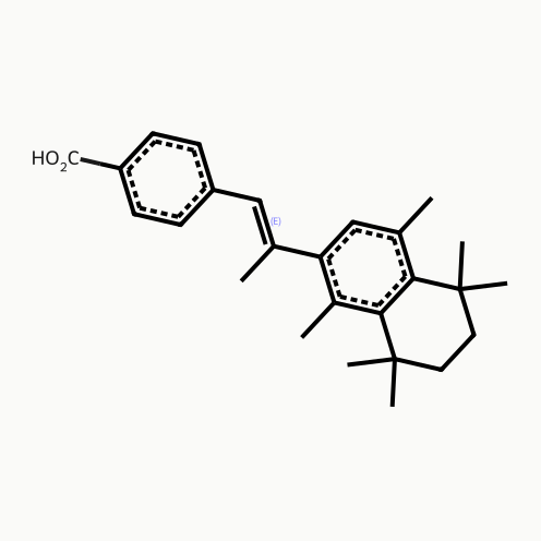 C/C(=C\c1ccc(C(=O)O)cc1)c1cc(C)c2c(c1C)C(C)(C)CCC2(C)C